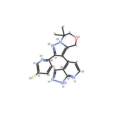 CC1(C)COCc2c(-c3ccnc4[nH]ncc34)c(-c3ccc(F)cn3)nn21